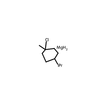 CC(C)C1CCC(C)(Cl)CC1.[MgH2]